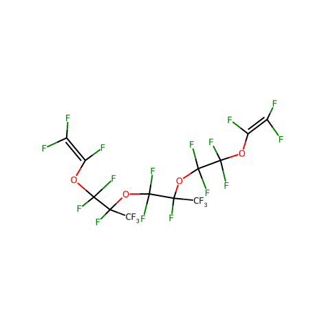 FC(F)=C(F)OC(F)(F)C(F)(F)OC(F)(C(F)(F)F)C(F)(F)OC(F)(C(F)(F)F)C(F)(F)OC(F)=C(F)F